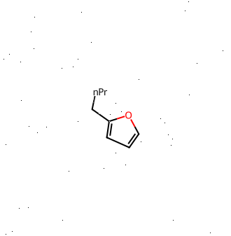 [CH]CCCc1ccco1